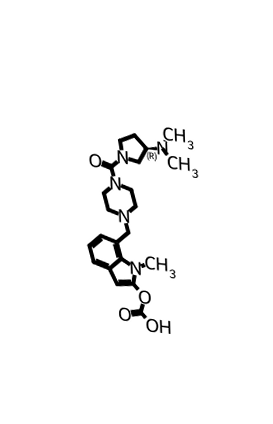 CN(C)[C@@H]1CCN(C(=O)N2CCN(Cc3cccc4cc(OC(=O)O)n(C)c34)CC2)C1